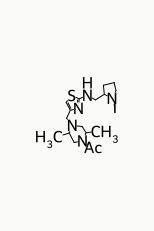 CC(=O)N1CC(C)N(Cc2csc(NCC3CCCN3I)n2)CC1C